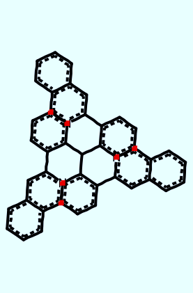 c1ccc(C(c2ccccc2-c2cc3ccccc3cn2)c2ccccc2-c2cc3ccccc3cn2)c(-c2cc3ccccc3cn2)c1